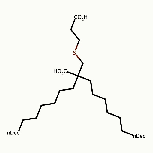 CCCCCCCCCCCCCCCCC(CCCCCCCCCCCCCCCC)(CSCCC(=O)O)C(=O)O